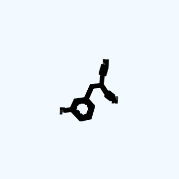 N#CC(C#N)Cc1cccc(F)c1